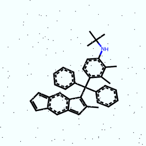 CC1=C(C(c2ccccc2)(c2ccccc2)c2ccc(NC(C)(C)C)c(C)c2C)c2cc3c(cc2=C1)C=CC=3